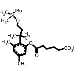 Cc1cc(C)c(C(C)(C)CCO[Si](C)(C)C(C)(C)C)c(OC(=O)CCCCC(=O)O)c1